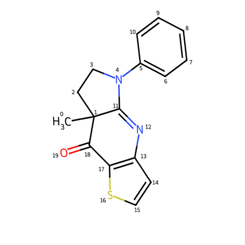 CC12CCN(c3ccccc3)C1=Nc1ccsc1C2=O